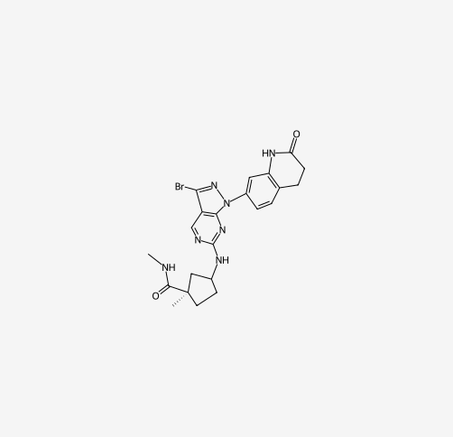 CNC(=O)[C@]1(C)CCC(Nc2ncc3c(Br)nn(-c4ccc5c(c4)NC(=O)CC5)c3n2)C1